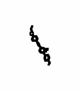 CCCOc1ccc(C#Cc2ccc(-c3ccc(CC)cc3)c(F)c2)cc1